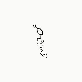 NCCOCP1OCCC(c2cccc(Cl)c2)O1